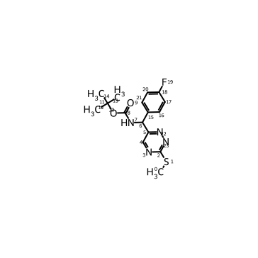 CSc1ncc(C(NC(=O)OC(C)(C)C)c2ccc(F)cc2)nn1